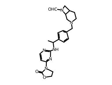 CC(Nc1nccc(N2CCOC2=O)n1)c1ccc(CN2CCC3CN(C=O)C3C2)cc1